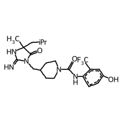 CC(C)CC1(C)NC(=N)N(CC2CCN(C(=O)Nc3ccc(O)cc3C(F)(F)F)CC2)C1=O